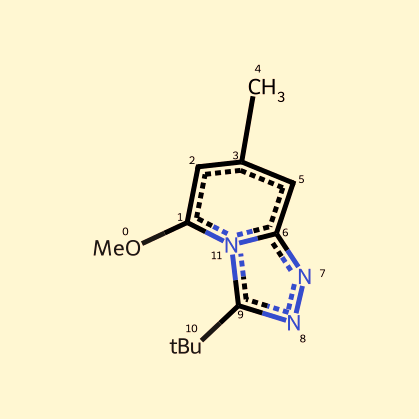 COc1cc(C)cc2nnc(C(C)(C)C)n12